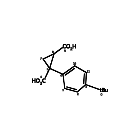 CC(C)(C)c1ccc(C2(C(=O)O)CC2C(=O)O)cc1